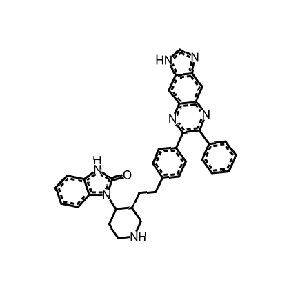 O=c1[nH]c2ccccc2n1C1CCNCC1CCc1ccc(-c2nc3cc4[nH]cnc4cc3nc2-c2ccccc2)cc1